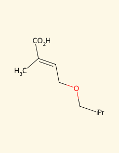 CC(=CCOCC(C)C)C(=O)O